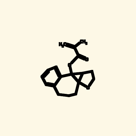 C=C(C)C(=O)OC12c3ccccc3CCCC13OCCC32